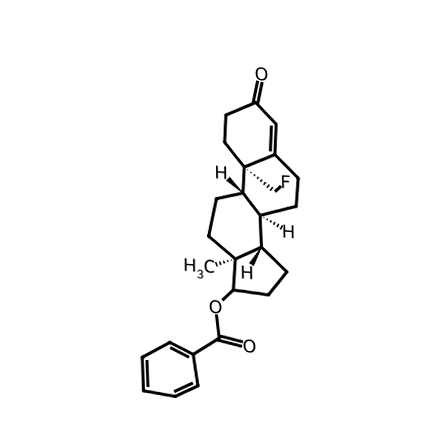 C[C@]12CC[C@H]3[C@@H](CCC4=CC(=O)CC[C@@]43CF)[C@@H]1CCC2OC(=O)c1ccccc1